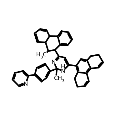 CC1C(C2=NC(C)(c3ccc(-c4ccccn4)cc3)NC(c3cc4c(c5c3CCC=C5)C=CCC4)=C2)c2ccccc2C2C=CC=CC21